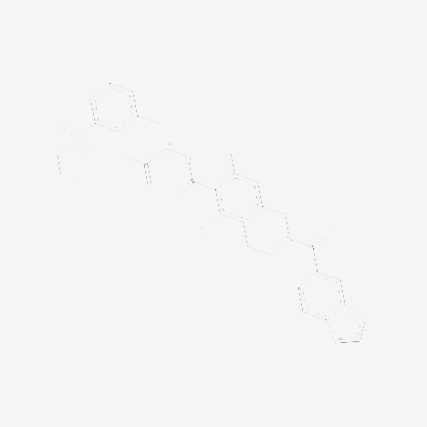 CCS(=O)(=O)c1cccc(C[C@H](NC(=O)c2c(Cl)cc3c(c2Cl)CCN(C(=O)c2ccc4ccoc4c2)C3)C(=O)O)c1